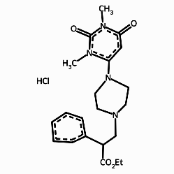 CCOC(=O)C(CN1CCN(c2cc(=O)n(C)c(=O)n2C)CC1)c1ccccc1.Cl